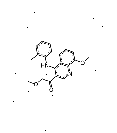 COCC(=O)c1cnc2c(OC)cccc2c1Nc1ccccc1C